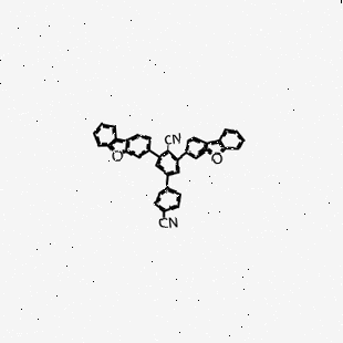 N#Cc1ccc(-c2cc(-c3ccc4c(c3)oc3ccccc34)c(C#N)c(-c3ccc4c(c3)oc3ccccc34)c2)cc1